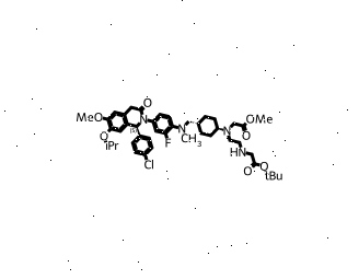 COC(=O)CN(CCNCC(=O)OC(C)(C)C)[C@H]1CC[C@H](CN(C)c2ccc(N3C(=O)Cc4cc(OC)c(OC(C)C)cc4[C@@H]3c3ccc(Cl)cc3)cc2F)CC1